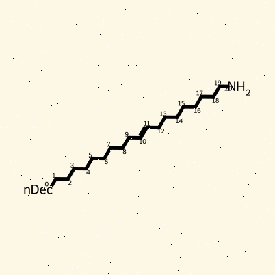 CCCCCCCCCCCCCCCCCCCC=CCCCCCCCCN